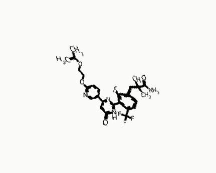 CC(C)OCCOc1ccc(-c2cc(=O)[nH]c(-c3c(C(F)(F)F)ccc(CC(C)(C)C(N)=O)c3F)n2)cn1